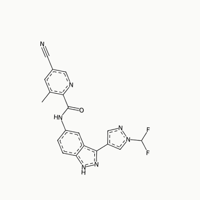 Cc1cc(C#N)cnc1C(=O)Nc1ccc2[nH]nc(-c3cnn(C(F)F)c3)c2c1